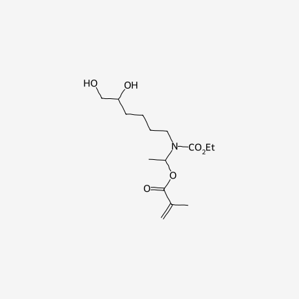 C=C(C)C(=O)OC(C)N(CCCCC(O)CO)C(=O)OCC